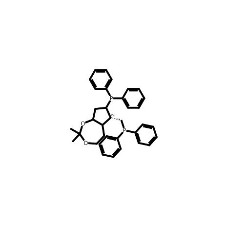 CC1(C)OCCC2C(CC(P(c3ccccc3)c3ccccc3)[C@@H]2CP(c2ccccc2)c2ccccc2)O1